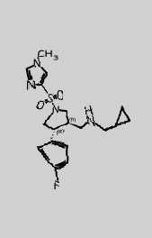 Cn1cnc(S(=O)(=O)N2C[C@@H](CNCC3CC3)[C@H](c3ccc(F)cc3)C2)c1